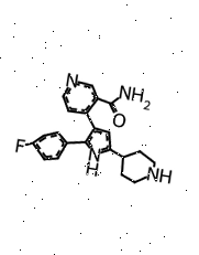 NC(=O)c1cnccc1-c1cc(C2CCNCC2)[nH]c1-c1ccc(F)cc1